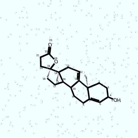 C[C@]12CCC(O)C=C1CCC1C2=CC[C@@]2(C)C1CC[C@@]21CCC(=O)O1